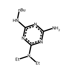 CCCCNc1nc(N)nc(N(CC)CC)n1